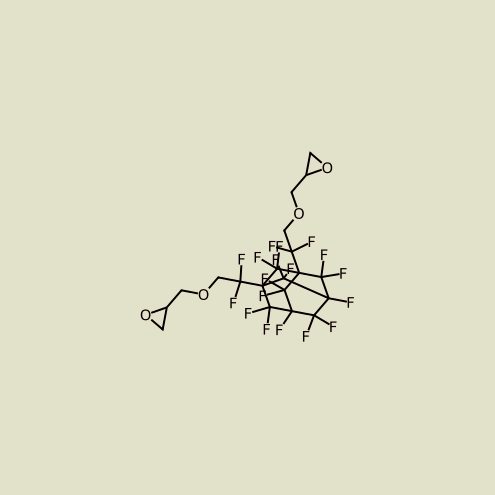 FC(F)(COCC1CO1)C12C(F)(F)C3(F)C(F)(F)C(F)(C1(F)F)C(F)(F)C(C(F)(F)COCC1CO1)(C3(F)F)C2(F)F